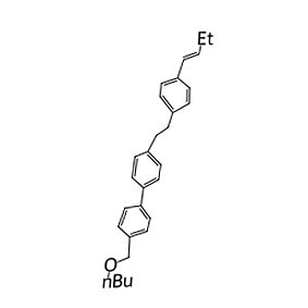 CCC=Cc1ccc(CCc2ccc(-c3ccc(COCCCC)cc3)cc2)cc1